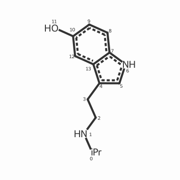 CC(C)NCCc1c[nH]c2ccc(O)cc12